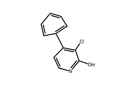 Oc1nccc(-c2ccccc2)c1Cl